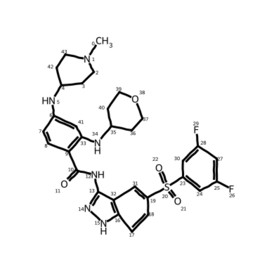 CN1CCC(Nc2ccc(C(=O)Nc3n[nH]c4ccc(S(=O)(=O)c5cc(F)cc(F)c5)cc34)c(NC3CCOCC3)c2)CC1